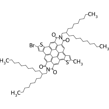 CCCCCCCCCCC(CCCCCCCC)Cn1c(=O)c2cc3c4cc(Br)sc4c4cc5c(=O)n(CC(CCCCCCCC)CCCCCCCCCC)c(=O)c6cc7c8cc(C)sc8c8cc(c1=O)c2c1c3c4c(c65)c7c81